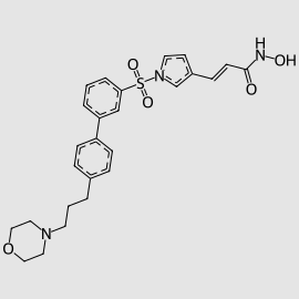 O=C(/C=C/c1ccn(S(=O)(=O)c2cccc(-c3ccc(CCCN4CCOCC4)cc3)c2)c1)NO